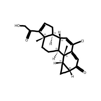 C[C@@]12C(=CC(=O)[C@@H]3C[C@@H]31)C(Cl)=C[C@@H]1[C@@H]2CC[C@]2(C)C(C(=O)CO)=CC[C@@H]12